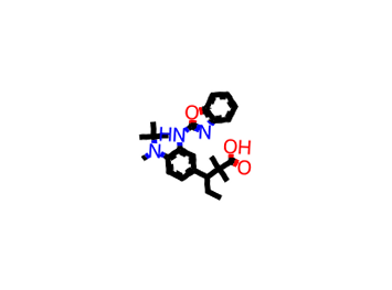 CCC(c1ccc(N(C)C(C)(C)C)c(Nc2nc3ccccc3o2)c1)C(C)(C)C(=O)O